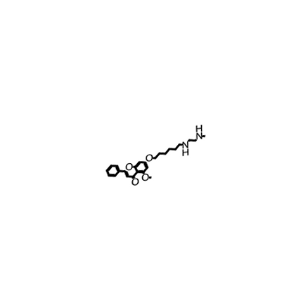 CNCCNCCCCCCOc1cc(OC)c2c(=O)cc(-c3ccccc3)oc2c1